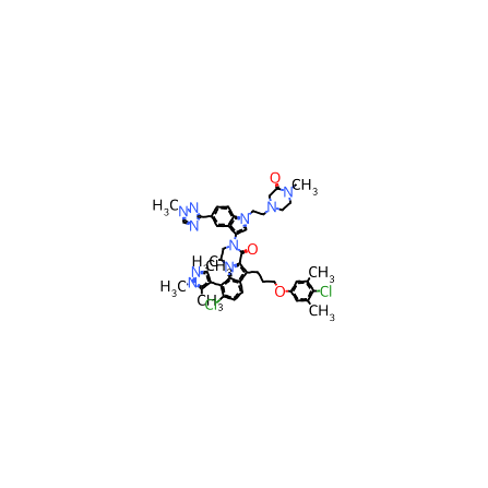 Cc1cc(OCCCc2c3n(c4c(-c5c(C)nn(C)c5C)c(Cl)ccc24)C(C)CN(c2cn(CCN4CCN(C)C(=O)C4)c4ccc(-c5ncn(C)n5)cc24)C3=O)cc(C)c1Cl